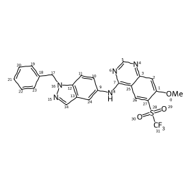 COc1cc2ncnc(Nc3ccc4c(cnn4Cc4ccccc4)c3)c2cc1S(=O)(=O)C(F)(F)F